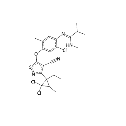 CCC1(c2nsc(Oc3cc(Cl)c(N=C(NC)C(C)C)cc3C)c2C#N)C(C)C1(Cl)Cl